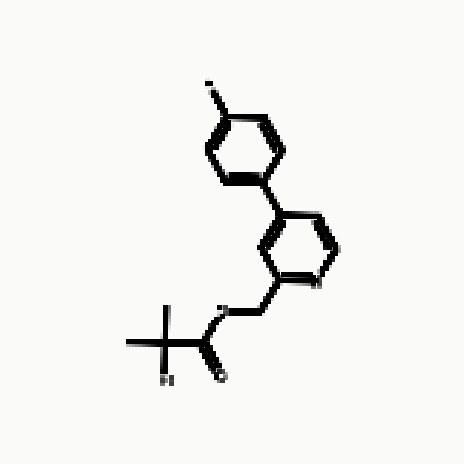 CCC(C)(C)C(=O)OCc1cc(-c2ccc(F)cc2)ccn1